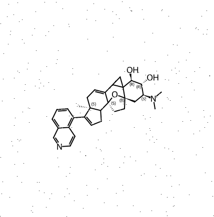 CN(C)[C@H]1C[C@@]23CC[C@@]4(O2)C(=CC[C@]2(C)C(c5cccc6cnccc56)=CCC24)C2CC23[C@@H](O)[C@@H]1O